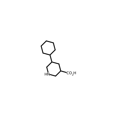 O=C(O)C1CNCC(C2CCCCC2)C1